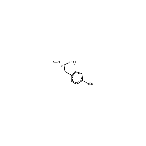 CN[C@@H](Cc1ccc(C(C)(C)C)cc1)C(=O)O